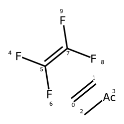 C=C.CC(C)=O.FC(F)=C(F)F